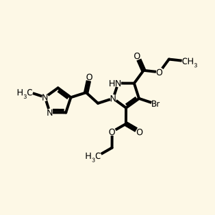 CCOC(=O)C1=C(Br)C(C(=O)OCC)NN1CC(=O)c1cnn(C)c1